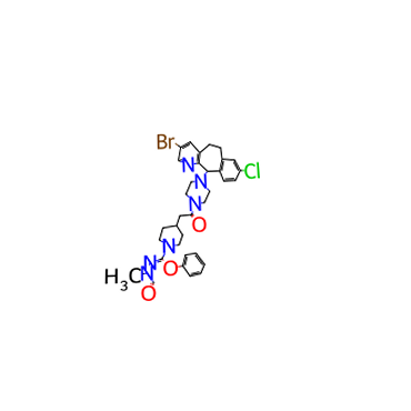 CN(C=O)N=C(Oc1ccccc1)N1CCC(CC(=O)N2CCN(C3c4ccc(Cl)cc4CCc4cc(Br)cnc43)CC2)CC1